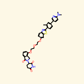 Cc1cc(-c2ccc(N(C)C)nc2)ccc1-c1nc2ccc(OCCOCCOc3cccc4c3CN(C3CCC(=O)NC3=O)C4=O)cc2s1